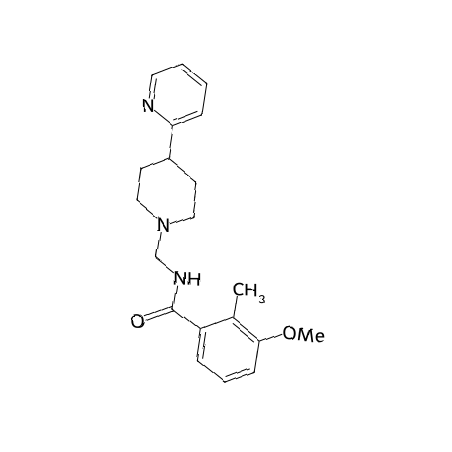 COc1cccc(C(=O)NCN2CCC(c3ccccn3)CC2)c1C